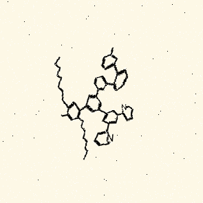 CCCCCCCCc1cc(-c2cc(-c3cc(-c4ccccn4)cc(-c4ccccn4)c3)cc(-c3cccc(-c4ccccc4-c4cccc(C)c4)c3)c2)c(CCCCCCCC)cc1C